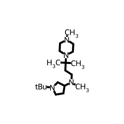 CN1CCN(C(C)(C)CCN(C)C2CCN(C(C)(C)C)C2)CC1